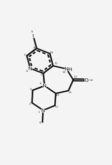 CN1CCN2c3ncc(I)cc3NC(=O)CC2C1